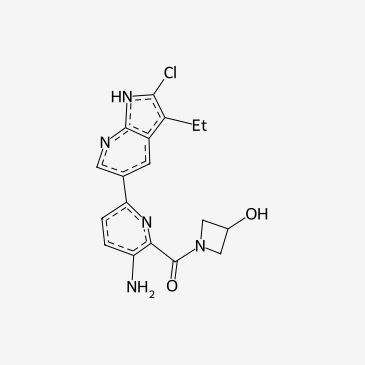 CCc1c(Cl)[nH]c2ncc(-c3ccc(N)c(C(=O)N4CC(O)C4)n3)cc12